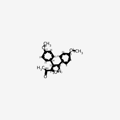 COc1ccc(-c2noc(C(C)=O)c2-c2ccc(OC)cc2)cc1